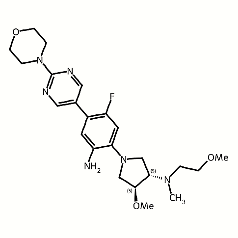 COCCN(C)[C@H]1CN(c2cc(F)c(-c3cnc(N4CCOCC4)nc3)cc2N)C[C@@H]1OC